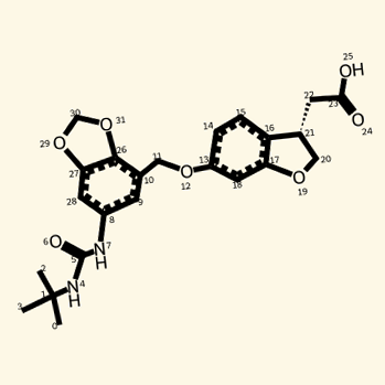 CC(C)(C)NC(=O)Nc1cc(COc2ccc3c(c2)OC[C@H]3CC(=O)O)c2c(c1)OCO2